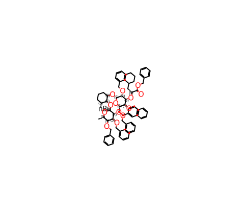 CCCC[C@H]1CCC[C@@H](O[C@H]2O[C@H](COCc3ccccc3)[C@H](OCc3ccccc3)[C@H](O[C@@H](CC3CCCCC3)C(=O)OCc3ccccc3)[C@H]2OCc2ccccc2)[C@H]1O[C@@H]1O[C@H](C)[C@H](OCc2ccccc2)[C@H](OCc2ccccc2)[C@H]1OCc1ccccc1